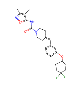 Cc1noc(NC(=O)N2CCC(=Cc3cccc(OC4CCC(F)(F)CC4)c3)CC2)c1C